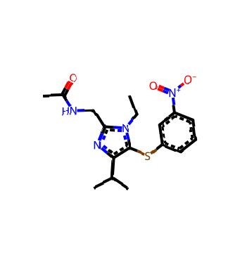 CCn1c(CNC(C)=O)nc(C(C)C)c1Sc1cccc([N+](=O)[O-])c1